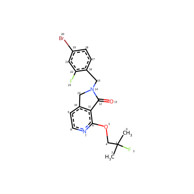 CC(C)(F)COc1nccc2c1C(=O)N(Cc1ccc(Br)cc1F)C2